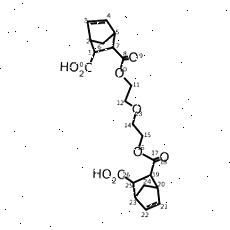 O=C(O)C1C2C=CC(C2)C1C(=O)OCCOCCOC(=O)C1C2C=CC(C2)C1C(=O)O